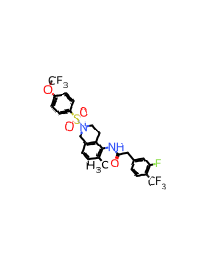 Cc1ccc2c(c1NC(=O)Cc1ccc(C(F)(F)F)c(F)c1)CCN(S(=O)(=O)c1ccc(OC(F)(F)F)cc1)C2